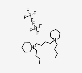 CCCC[N+]1(CCCC[N+]2(CCCC)CCCCC2)CCCCC1.F[B-](F)(F)F.F[B-](F)(F)F